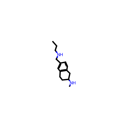 CCCNCc1ccc2c(c1)CCC(NC)C2